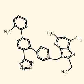 CCc1nc2c(C)cc(C)nc2n1Cc1ccc(-c2cc(-c3ccccc3C)ccc2-c2nn[nH]n2)cc1